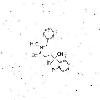 CCC(CCC(C#N)(c1c(F)cccc1F)C(C)C)N(C)Cc1ccccc1